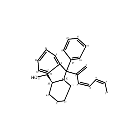 C=C(/C=C\C=C/C)C(c1ccccc1)(c1ccccc1)N1CCCC[C@H]1CO